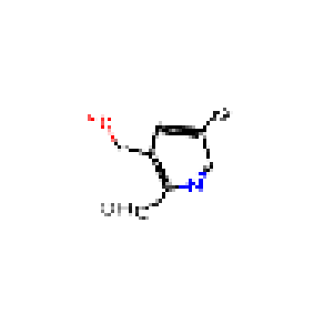 CCCc1cnc(C=O)c(CO)c1